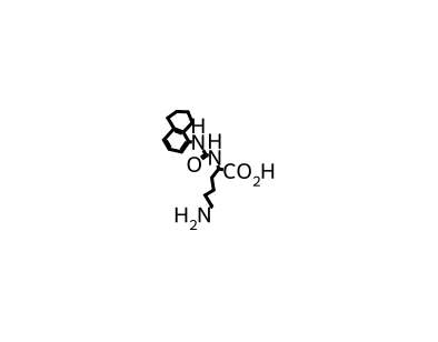 NCCCCC(NC(=O)Nc1cccc2c1CCCC2)C(=O)O